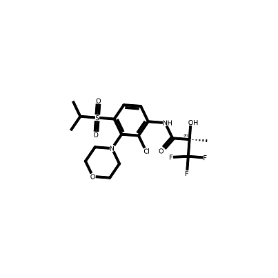 CC(C)S(=O)(=O)c1ccc(NC(=O)[C@@](C)(O)C(F)(F)F)c(Cl)c1N1CCOCC1